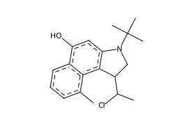 Cc1cccc2c(O)cc3c(c12)C(C(C)Cl)CN3C(C)(C)C